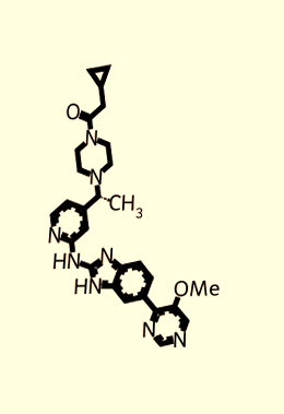 COc1cncnc1-c1ccc2nc(Nc3cc([C@@H](C)N4CCN(C(=O)CC5CC5)CC4)ccn3)[nH]c2c1